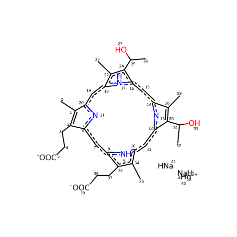 CC1=C(CCC(=O)[O-])c2cc3[nH]c(cc4nc(cc5[nH]c(cc1n2)c(C)c5C(C)O)C(C)=C4C(C)O)c(C)c3CCC(=O)[O-].[Hg+2].[NaH].[NaH]